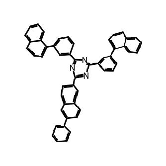 c1ccc(-c2ccc3cc(-c4nc(-c5cccc(-c6cccc7ccccc67)c5)nc(-c5cccc(-c6cccc7ccccc67)c5)n4)ccc3c2)cc1